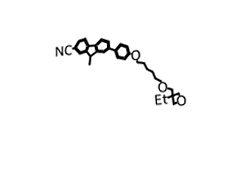 CCC1(COCCCCCCOc2ccc(-c3ccc4c(c3)C(C)c3cc(C#N)ccc3-4)cc2)COC1